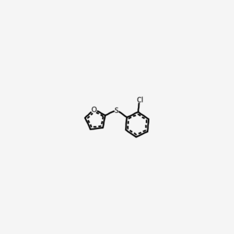 Clc1ccccc1Sc1ccco1